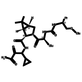 CC(C)[C@@H](COC(C)(C)C)NC(=O)N[C@H](C(=O)N1C[C@H]2[C@@H]([C@H]1C(=O)NC(C(=O)C(N)=O)C1CC1)C2(C)C)C(C)(C)C